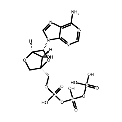 Nc1ncnc2c1ncn2[C@@H]1O[C@@]2(COP(=O)(O)OP(=O)(O)OP(=O)(O)O)CO[C@@H]1[C@@H]2O